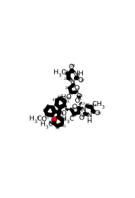 COc1cccc(C(OC[C@H]2O[C@@](COOC3OC(n4cc(C)c(=O)[nH]c4=O)CC3O)(n3cc(C)c(=O)[nH]c3=O)C[C@@H]2C)(c2ccccc2)c2ccccc2)c1OC